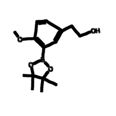 COc1ccc(CCO)cc1B1OC(C)(C)C(C)(C)O1